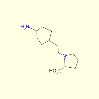 NC1CCC(CCN2CCCC2C(=O)O)CC1